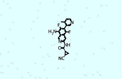 Cc1ccncc1-c1c(F)c(N)c2cnc(NC(=O)[C@H]3C[C@@H]3C#N)cc2c1F